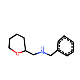 c1ccc(CNCC2CCCCO2)cc1